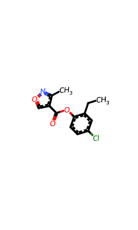 CCc1cc(Cl)ccc1OC(=O)c1conc1C